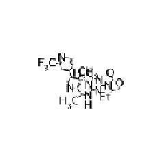 CC[C@H]1COC(=O)N1c1nc(C)nc(NC(C)c2cc(C)c(-c3ccnc(C(F)(F)F)c3)cn2)n1